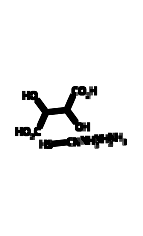 N.N.N.N#CS.O=C(O)C(O)C(O)C(=O)O